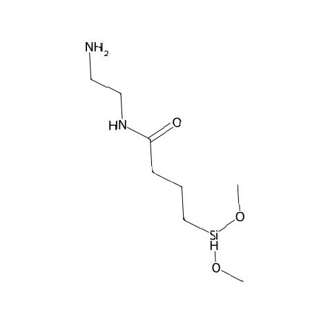 CO[SiH](CCCC(=O)NCCN)OC